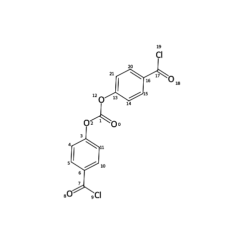 O=C(Oc1ccc(C(=O)Cl)cc1)Oc1ccc(C(=O)Cl)cc1